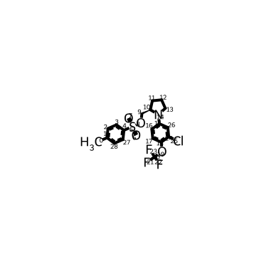 Cc1ccc(S(=O)(=O)OC[C@H]2CCCN2c2ccc(OC(F)(F)F)c(Cl)c2)cc1